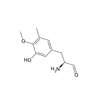 COc1c(C)cc(C[C@H](N)C=O)cc1O